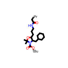 CC(C)CC(=O)NCCCC1OC(C)(C)N(C(=O)OC(C)(C)C)C1CC1CCCCC1